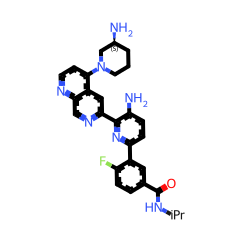 CC(C)NC(=O)c1ccc(F)c(-c2ccc(N)c(-c3cc4c(N5CCC[C@H](N)C5)ccnc4cn3)n2)c1